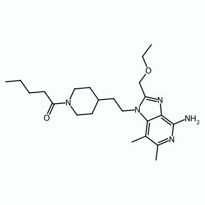 CCCCC(=O)N1CCC(CCn2c(COCC)nc3c(N)nc(C)c(C)c32)CC1